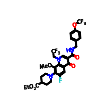 CCOC(=O)C1CCN(c2c(F)cc3c(=O)c(C(=O)NCc4ccc(OC(F)(F)F)cc4)cn(CC(F)(F)F)c3c2OC)CC1